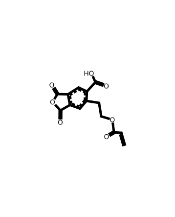 C=CC(=O)OCCc1cc2c(cc1C(=O)O)C(=O)OC2=O